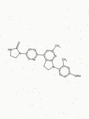 COc1ccc(N2CCc3c(-c4ccc(N5CCNC5=O)cn4)cc(C)nc32)c(C)c1